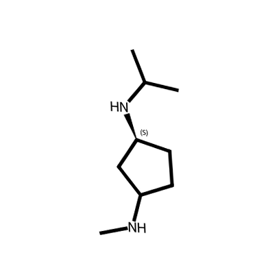 CNC1CC[C@H](NC(C)C)C1